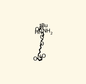 CC(C)(C)OC(=O)NC(N)COCCOCCCCCN1C(=O)C=CC1=O